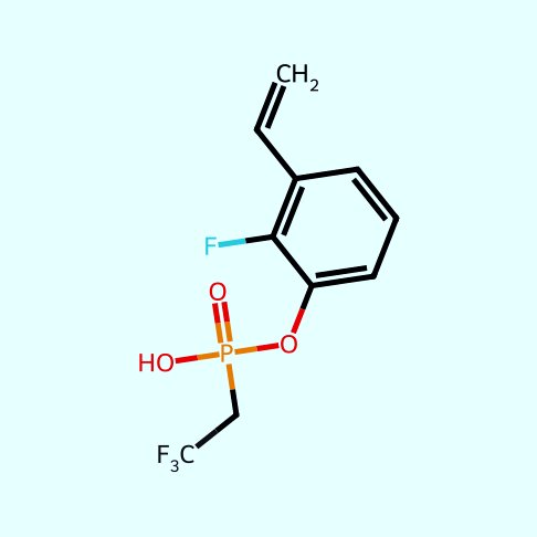 C=Cc1cccc(OP(=O)(O)CC(F)(F)F)c1F